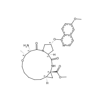 COC(=O)[C@@]12C[C@H]1CCCCCO[C@H](C)[C@H](N)C(=O)N1C[C@H](Oc3nccc4cc(OC)ccc34)C[C@H]1C(=O)N2